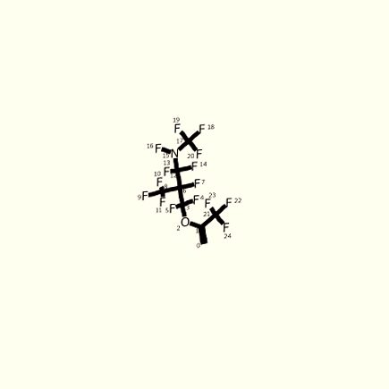 C=C(OC(F)(F)C(F)(C(F)(F)F)C(F)(F)N(F)C(F)(F)F)C(F)(F)F